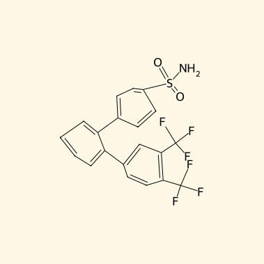 NS(=O)(=O)c1ccc(-c2ccccc2-c2ccc(C(F)(F)F)c(C(F)(F)F)c2)cc1